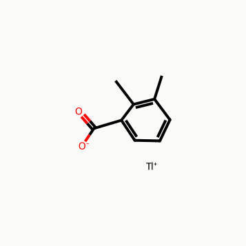 Cc1cccc(C(=O)[O-])c1C.[Tl+]